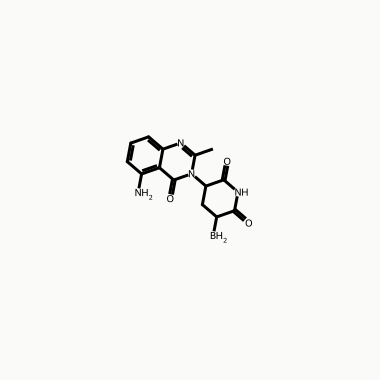 BC1CC(n2c(C)nc3cccc(N)c3c2=O)C(=O)NC1=O